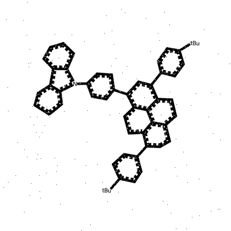 CC(C)(C)c1ccc(-c2ccc3ccc4c(-c5ccc(C(C)(C)C)cc5)cc(-c5ccc(-n6c7ccccc7c7ccccc76)cc5)c5ccc2c3c45)cc1